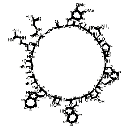 CCCC[C@H]1C(=O)N(C)[C@@H](CCCC)C(=O)N[C@@H](CCCNC(=N)N)C(=O)N[C@H](C(=O)NCC(N)=O)CSCC(=O)N[C@@H](Cc2ccc(OC)c(OC)c2)C(=O)N(C)[C@@H](C)C(=O)N[C@@H](CC(N)=O)C(=O)N2CCC[C@H]2C(=O)N[C@@H](Cc2cnc[nH]2)C(=O)N[C@@H](CC(C)C)C(=O)N2C[C@H](O)C[C@H]2C(=O)N[C@@H](Cc2c[nH]c3ccccc23)C(=O)N[C@@H](CO)C(=O)N[C@@H](Cc2c[nH]c3ccccc23)C(=O)N1C